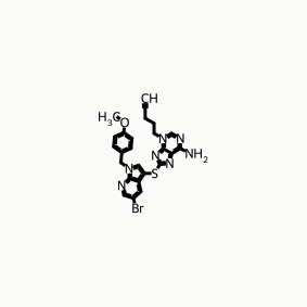 C#CCCCn1cnc(N)c2nc(Sc3cn(Cc4ccc(OC)cc4)c4ncc(Br)cc34)nc1-2